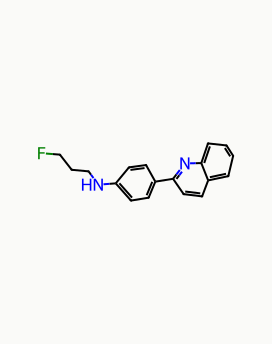 FCCCNc1ccc(-c2ccc3ccccc3n2)cc1